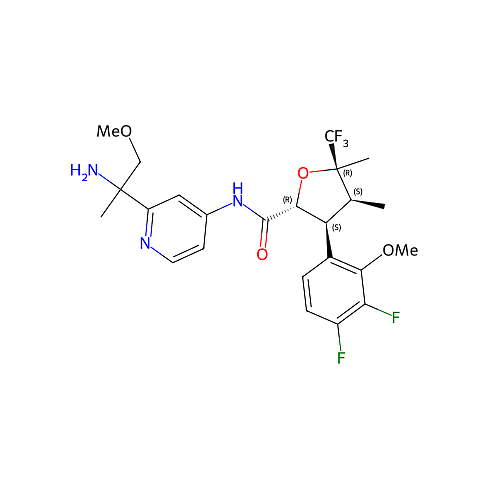 COCC(C)(N)c1cc(NC(=O)[C@@H]2O[C@@](C)(C(F)(F)F)[C@@H](C)[C@H]2c2ccc(F)c(F)c2OC)ccn1